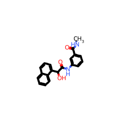 CNC(=O)c1cccc(NC(=O)C(O)c2cccc3ccccc23)c1